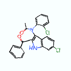 CC(=O)N(c1ccccc1Cl)c1c(C(=O)c2ccccc2)[nH]c2cc(Cl)ccc12